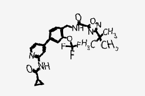 CC(C)(C)c1noc(C(=O)NCc2ccc(-c3ccnc(NC(=O)C4CC4)c3)cc2OC(F)(F)F)n1